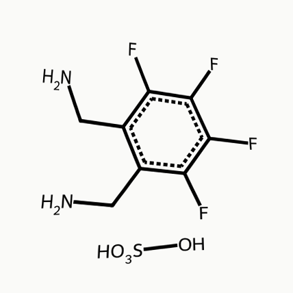 NCc1c(F)c(F)c(F)c(F)c1CN.O=S(=O)(O)O